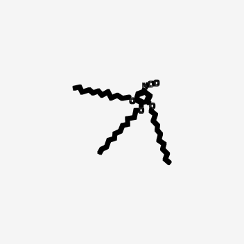 CCCCCCCCCCCCOc1cc(N=C=O)cc(OCCCCCCCCCCCC)c1OCCCCCCCCCCCC